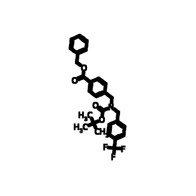 CC(C)(C)OC(=O)N(Cc1ccc(C(=O)OCc2ccccc2)cc1)Cc1ccc(C(F)(F)F)cc1